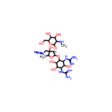 CNC1C(O[C@@H]2C(OC3C(O)C(O)C(NC(=N)N)C(O)C3NC(=N)N)OC(C)C2(O)CN=[N+]=[N-])OC(CO)C(O)C1O